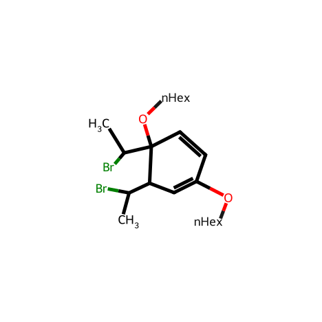 CCCCCCOC1=CC(C(C)Br)C(OCCCCCC)(C(C)Br)C=C1